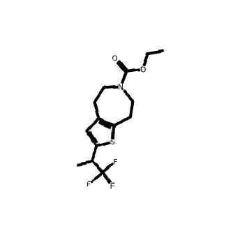 CCOC(=O)N1CCc2cc(C(C)C(F)(F)F)sc2CC1